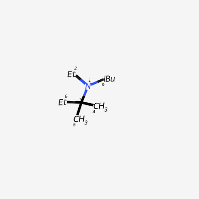 CCC(C)N(CC)C(C)(C)CC